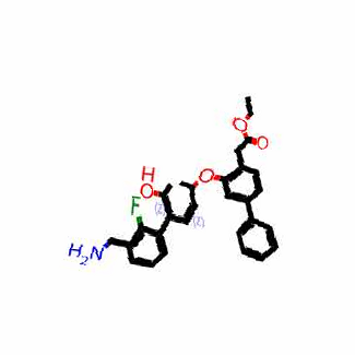 CCOC(=O)Cc1ccc(-c2ccccc2)cc1OC(C)/C=C\C(=C(/C)O)c1cccc(CN)c1F